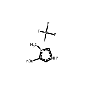 CCCCc1c[nH+]cn1C.F[B-](F)(F)F